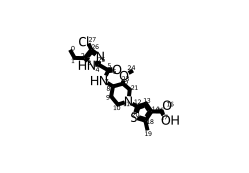 CCc1[nH]c(C(=O)NC2CCN(c3cc(C(=O)O)c(C)s3)CC2OC)nc1Cl